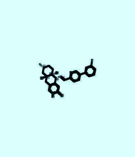 C[C@@H]1CC[C@@H]2[C@H](Cc3c[nH]c(=O)cc3[C@H]2/C=C/c2ccc(-c3cccc(F)c3)cn2)C1